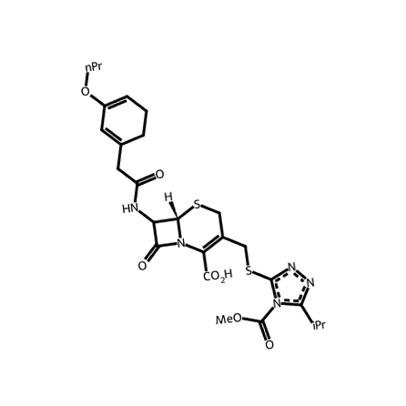 CCCOC1=CCCC(CC(=O)NC2C(=O)N3C(C(=O)O)=C(CSc4nnc(C(C)C)n4C(=O)OC)CS[C@@H]23)=C1